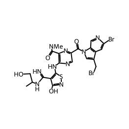 CNC(=O)c1nc(C(=O)n2cc(CBr)c3cc(Br)ncc32)cnc1Nc1snc(O)c1C(=N)NC(C)CO